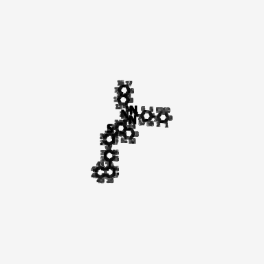 c1ccc(-c2ccc(-c3nc(-c4ccc5ccccc5c4)nc(-c4cc5sc6ccc(-c7ccc(-c8cccc9ccccc89)cc7)cc6c5c5ccccc45)n3)cc2)cc1